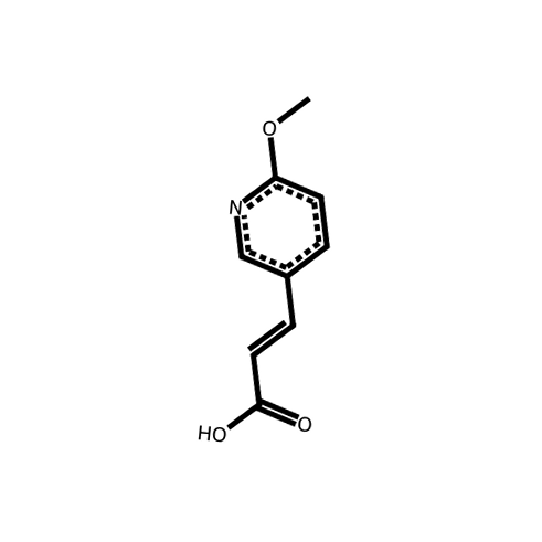 COc1ccc(/C=C/C(=O)O)cn1